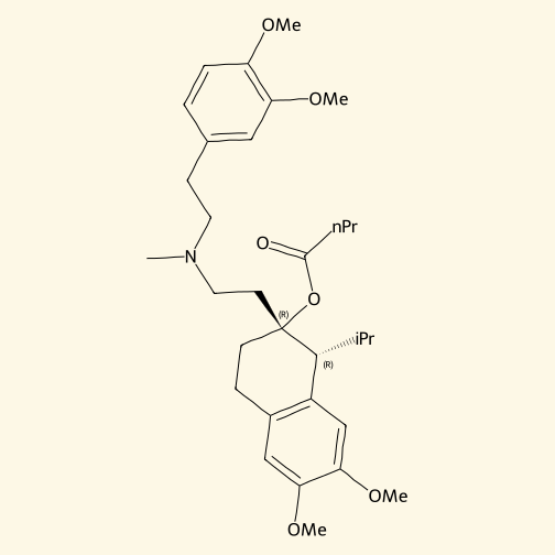 CCCC(=O)O[C@@]1(CCN(C)CCc2ccc(OC)c(OC)c2)CCc2cc(OC)c(OC)cc2[C@H]1C(C)C